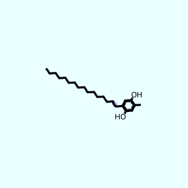 CCCCCCCCCCCCCC/C=C/c1cc(O)c(C)cc1O